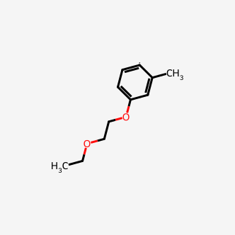 CCOCCOc1cc[c]c(C)c1